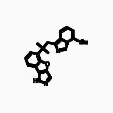 CC(C)(C)c1cccc2c(CC(C)(C)c3cccc4c3oc3cn[nH]c34)ncn12